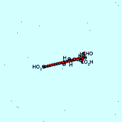 O=CCNC(=O)[C@H](CCC(=O)O)NC(=O)COCCOCCNC(=O)CCCNC(=O)CCCCCCCCCCCCCCCCC(=O)O